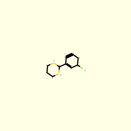 FC1C=C(C2SCCCS2)C#CC1